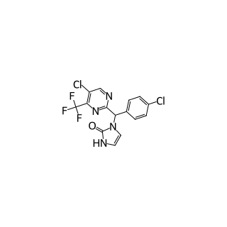 O=c1[nH]ccn1C(c1ccc(Cl)cc1)c1ncc(Cl)c(C(F)(F)F)n1